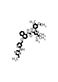 CCc1cncc(Nc2cc(COc3ccc(NC(=O)Nc4cc(C(C)(C)C)nn4-c4ccc(C)c(OC)c4)c4ccccc34)ccn2)n1